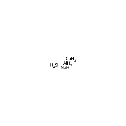 [AlH3].[CaH2].[NaH].[SiH4]